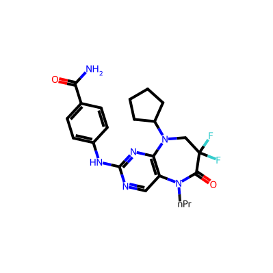 CCCN1C(=O)C(F)(F)CN(C2CCCC2)c2nc(Nc3ccc(C(N)=O)cc3)ncc21